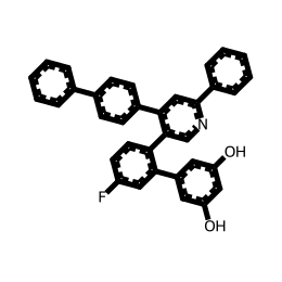 Oc1cc(O)cc(-c2cc(F)ccc2-c2cnc(-c3ccccc3)cc2-c2ccc(-c3ccccc3)cc2)c1